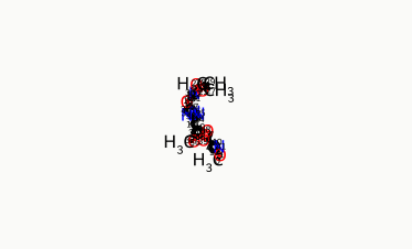 COc1ccc(C2COc3cc(Cc4cnn5cc(OC6CN(C(=O)OC(C)(C)C)C6)cnc45)cc(OC)c3O2)cn1